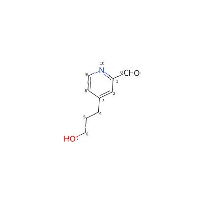 O=[C]c1cc(CCCO)ccn1